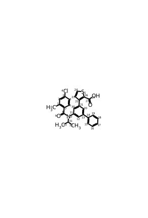 Cc1cc(Cl)ccc1C(=O)N(c1cc(-c2ccccc2)cc(-c2ccsc2C(=O)O)c1)C(C)C